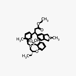 CCOC(=O)CC(c1ccc(C)c(CN2C[C@@H](CC)Oc3ccccc3S2(O)O)c1)c1ccc2c(c1)CN(C)C2